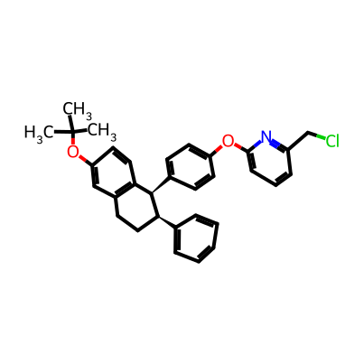 CC(C)(C)Oc1ccc2c(c1)CC[C@H](c1ccccc1)[C@@H]2c1ccc(Oc2cccc(CCl)n2)cc1